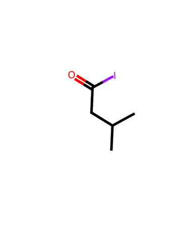 CC(C)CC(=O)I